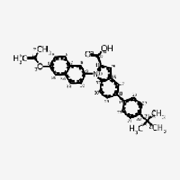 CC(C)Oc1ccc2cc(-n3c(C(=O)O)cc4cc(-c5ccc(C(C)(C)C)cc5)ccc43)ccc2c1